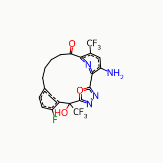 Nc1cc(C(F)(F)F)c2nc1-c1nnc(o1)C(O)(C(F)(F)F)c1cc(ccc1F)CCCCC2=O